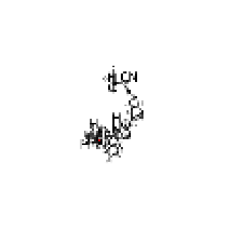 CN(C)C(=O)C(C#N)C#CCCc1cccc(COC(=O)N[C@@H](Cc2ccccc2)B2O[C@@H]3C[C@@H]4C[C@@H](C4(C)C)[C@]3(C)O2)c1